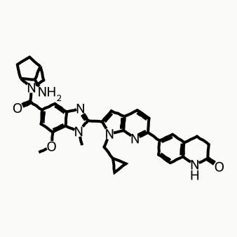 COc1cc(C(=O)N2CC3CCC2C3N)cc2nc(-c3cc4ccc(-c5ccc6c(c5)CCC(=O)N6)nc4n3CC3CC3)n(C)c12